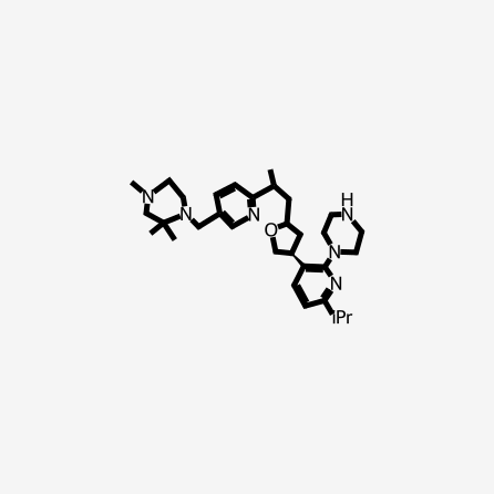 CC(C)c1ccc([C@H]2COC(CC(C)c3ccc(CN4CCN(C)CC4(C)C)cn3)C2)c(N2CCNCC2)n1